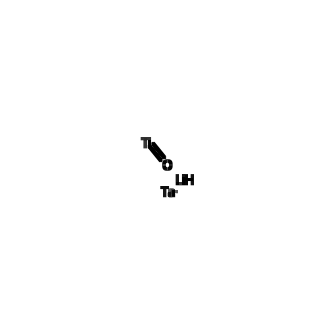 [LiH].[O]=[Ti].[Ta]